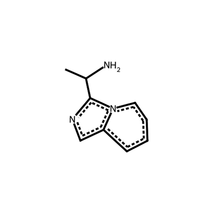 CC(N)c1ncc2ccccn12